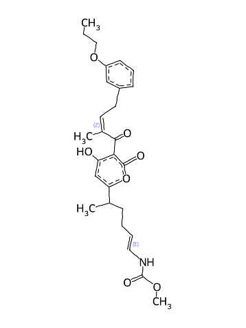 CCCOc1cccc(C/C=C(/C)C(=O)c2c(O)cc(C(C)CC/C=C/NC(=O)OC)oc2=O)c1